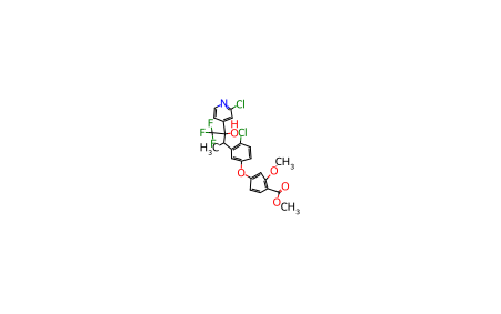 COC(=O)c1ccc(Oc2ccc(Cl)c(C(C)C(O)(c3ccnc(Cl)c3)C(F)(F)F)c2)cc1OC